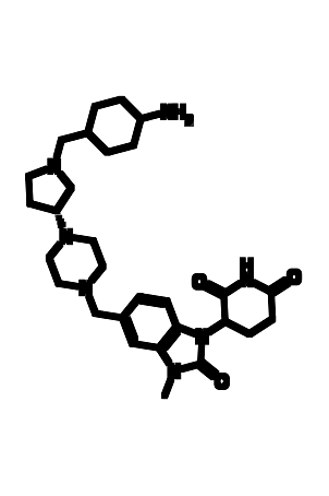 Cn1c(=O)n(C2CCC(=O)NC2=O)c2ccc(CN3CCN([C@@H]4CCN(CC5CCC(N)CC5)C4)CC3)cc21